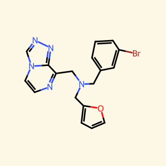 Brc1cccc(CN(Cc2ccco2)Cc2nccn3cnnc23)c1